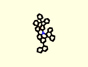 c1ccc(-c2ccccc2N(c2ccc3c(c2)-c2ccccc2C3(c2ccccc2)c2ccccc2)c2c(-c3cccc(-c4cccc5ccccc45)c3)c3ccccc3c3ccccc23)cc1